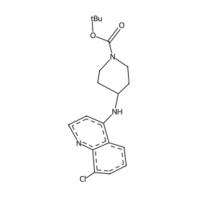 CC(C)(C)OC(=O)N1CCC(Nc2ccnc3c(Cl)cccc23)CC1